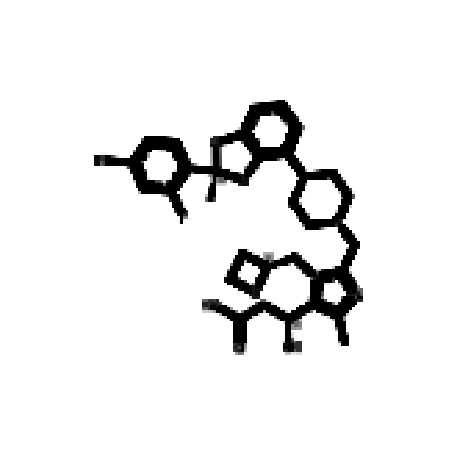 Cc1nc(CN2CCC(c3cccc4c3O[C@@](C)(c3ccc(Cl)cc3F)O4)CC2)n(C[C@@H]2CCO2)c1[C@H](O)CC(=O)O